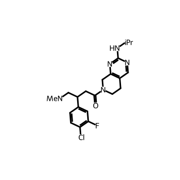 CNCC(CC(=O)N1CCc2cnc(NC(C)C)nc2C1)c1ccc(Cl)c(F)c1